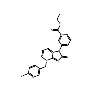 CCOC(=O)c1cccc(-n2c3cccn(Cc4ccc(Cl)nc4)c-3nc2=O)c1